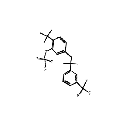 CC(C)(C)c1ccc(CC(C)(C)c2cccc(C(F)(F)F)c2)cc1OC(F)(F)F